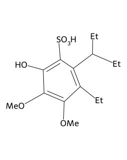 CCc1c(OC)c(OC)c(O)c(S(=O)(=O)O)c1C(CC)CC